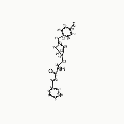 O=C(/C=C/c1cccnc1)NCCC1C2CN(Cc3ccc(F)cc3)CC12